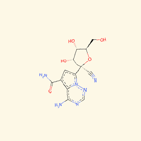 N#C[C@@]1(c2cc(C(N)=O)c3c(N)ncnn23)O[C@H](CO)[C@@H](O)[C@H]1O